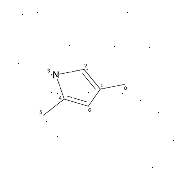 CC1=[C][N]C(C)=C1